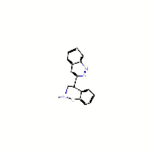 CN1Cc2ccccc2C(c2cc3ccccc3nn2)C1